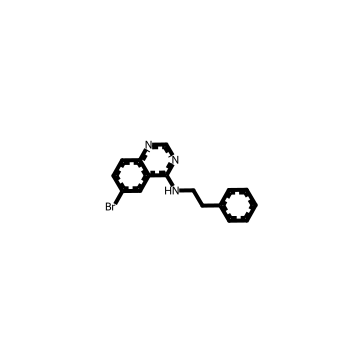 Brc1ccc2ncnc(NCCc3ccccc3)c2c1